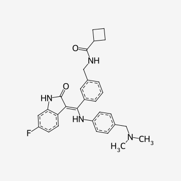 CN(C)Cc1ccc(NC(=C2C(=O)Nc3cc(F)ccc32)c2cccc(CNC(=O)C3CCC3)c2)cc1